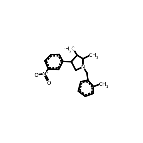 [CH2]C1C(c2cccc([N+](=O)[O-])c2)CN(Cc2ccccc2C)C1C